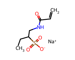 C=CC(=O)NCC(CC)S(=O)(=O)[O-].[Na+]